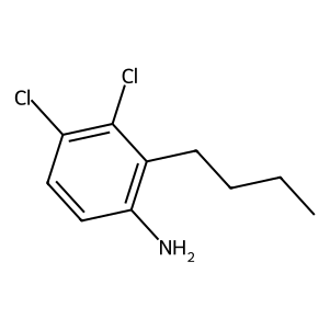 CCCCc1c(N)ccc(Cl)c1Cl